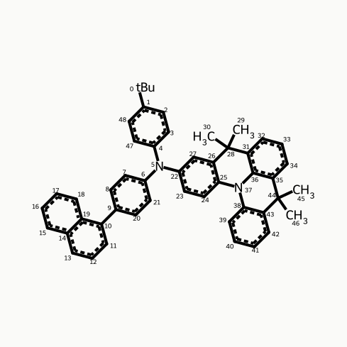 CC(C)(C)c1ccc(N(c2ccc(-c3cccc4ccccc34)cc2)c2ccc3c(c2)C(C)(C)c2cccc4c2N3c2ccccc2C4(C)C)cc1